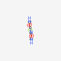 CC1(C)CC(OC(=O)c2ccc(/C(F)=C(\F)c3ccc(C(=O)OC4CC(C)(C)NC(C)(C)C4)cn3)cc2)CC(C)(C)N1